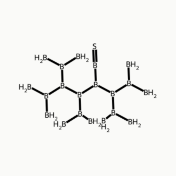 BB(B)B(B(B)B)B(B=S)B(B(B)B)B(B(B)B)B(B)B